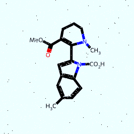 COC(=O)C1=C(c2cc3cc(C)ccc3n2C(=O)O)N(C)CCC1